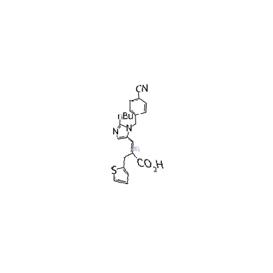 CCCCc1ncc(/C=C(\Cc2cccs2)C(=O)O)n1Cc1ccc(C#N)cc1